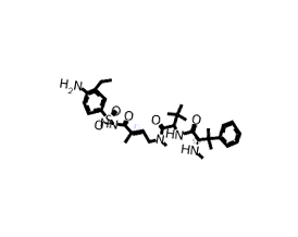 CCc1cc(S(=O)(=O)NC(=O)/C(C)=C/CN(C)C(=O)C(NC(=O)[C@@H](NC)C(C)(C)c2ccccc2)C(C)(C)C)ccc1N